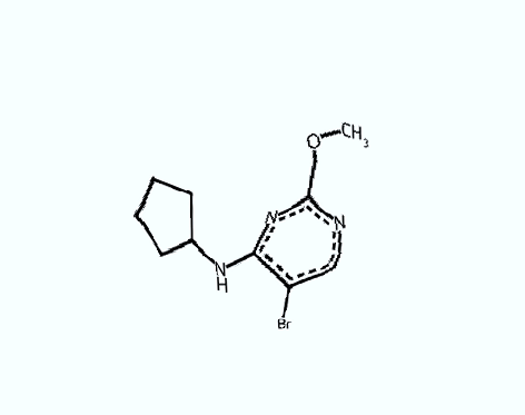 COc1ncc(Br)c(NC2CCCC2)n1